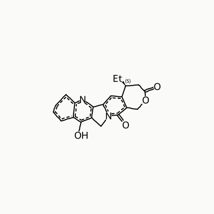 CC[C@H]1CC(=O)OCc2c1cc1n(c2=O)Cc2c-1nc1ccccc1c2O